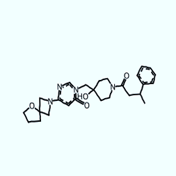 CC(CC(=O)N1CCC(O)(Cn2cnc(N3CC4(CCCO4)C3)cc2=O)CC1)c1ccccc1